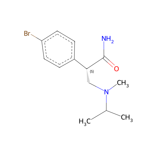 CC(C)N(C)C[C@@H](C(N)=O)c1ccc(Br)cc1